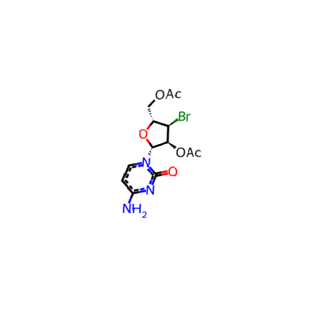 CC(=O)OC[C@H]1O[C@@H](n2ccc(N)nc2=O)[C@H](OC(C)=O)[C@@H]1Br